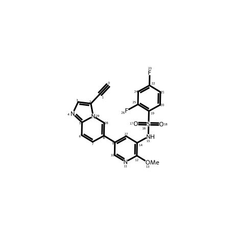 C#Cc1cnc2ccc(-c3cnc(OC)c(NS(=O)(=O)c4ccc(F)cc4F)c3)cn12